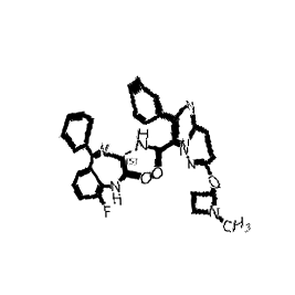 CN1CCC1Oc1ccc2nc(-c3ccccc3)c(C(=O)N[C@H]3N=C(c4ccccc4)c4cccc(F)c4NC3=O)n2n1